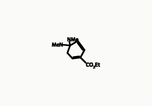 CCOC(=O)C1=CCC(NC)(NC)C=C1